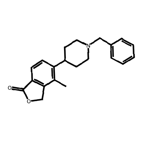 Cc1c(C2CCN(Cc3ccccc3)CC2)ccc2c1COC2=O